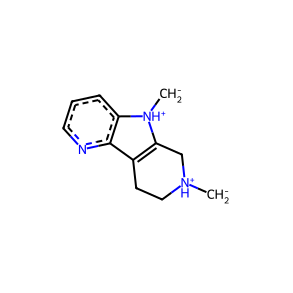 [CH2-][NH+]1CCC2=C(C1)[NH+]([CH2-])c1cccnc12